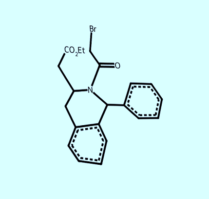 CCOC(=O)CC1Cc2ccccc2C(c2ccccc2)N1C(=O)CBr